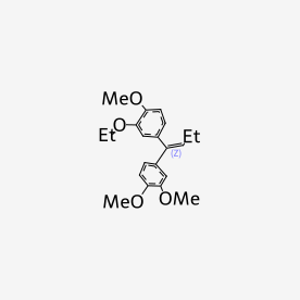 CC/C=C(/c1ccc(OC)c(OC)c1)c1ccc(OC)c(OCC)c1